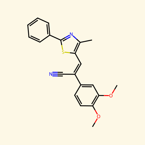 COc1ccc(C(C#N)=Cc2sc(-c3ccccc3)nc2C)cc1OC